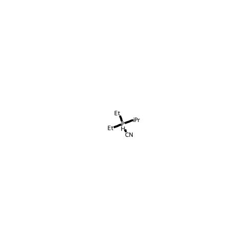 CC[PH](C#N)(CC)C(C)C